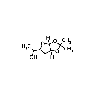 C[C@@H](O)[C@@H]1C[C@H]2OC(C)(C)O[C@H]2O1